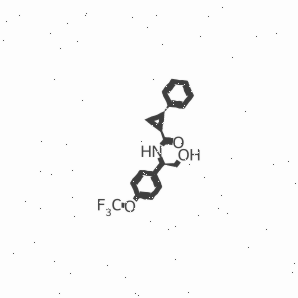 O=C(N[C@@H](CO)c1ccc(OC(F)(F)F)cc1)[C@H]1C[C@@H]1c1ccccc1